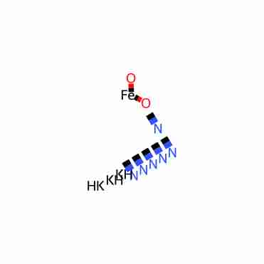 C#N.C#N.C#N.C#N.C#N.C#N.[KH].[KH].[KH].[O]=[Fe]=[O]